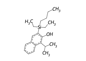 CCCC[Si](CC)(CC)c1cc2ccccc2c(C(C)C)c1O